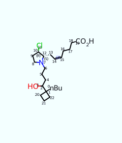 CCCCC1(C(O)CCCN2CC[C@@H](Cl)[C@@H]2C/C=C\CCCC(=O)O)CCC1